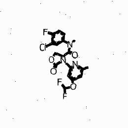 Cc1cc(OC(F)F)cc(N2C(=O)OCC2C(=O)N(C)c2ccc(F)c(Cl)c2)n1